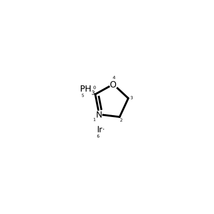 C1=NCCO1.P.[Ir]